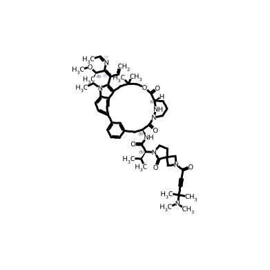 C=C/C(=C(\N=C/C)[C@H](C)OC)c1c2c3cc(ccc3n1CC)-c1cccc(c1)C[C@H](NC(=O)[C@H](C(C)C)N1CCC3(CN(C(=O)C#CC(C)(C)N(C)C)C3)C1=O)C(=O)N1CCC[C@H](N1)C(=O)OCC(C)(C)C2